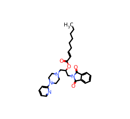 CCCCCCC=CC(=O)OC(CN1CCN(c2ccccn2)CC1)CN1C(=O)c2ccccc2C1=O